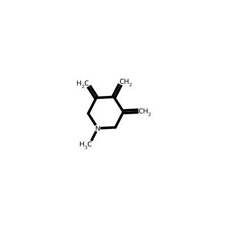 C=C1CN(C)CC(=C)C1=C